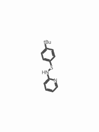 CC(C)(C)c1ccc(SNc2ccccn2)cc1